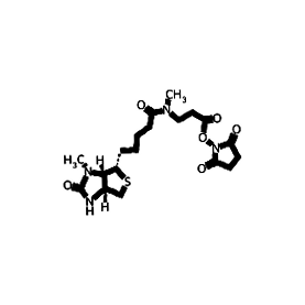 CN(CCC(=O)ON1C(=O)CCC1=O)C(=O)CCCC[C@@H]1SC[C@@H]2NC(=O)N(C)[C@@H]21